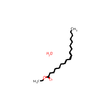 CCCCCCCC/C=C\CCCCCCCC(=O)OCC.O